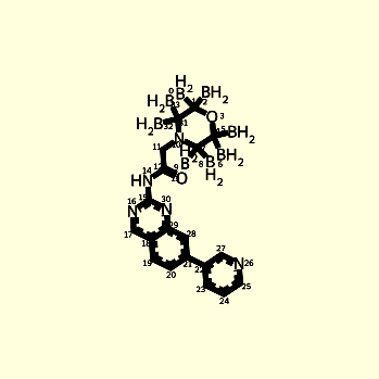 BC1(B)OC(B)(B)C(B)(B)N(CC(=O)Nc2ncc3ccc(-c4cccnc4)cc3n2)C1(B)B